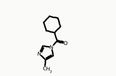 Cc1cn(C(=O)C2CCCCC2)cn1